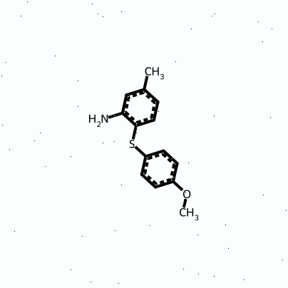 COc1ccc(Sc2ccc(C)cc2N)cc1